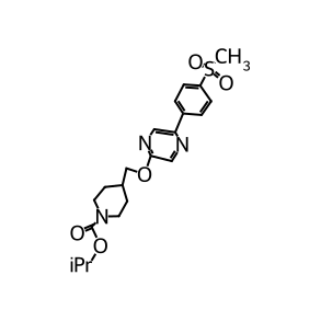 CC(C)OC(=O)N1CCC(COc2cnc(-c3ccc(S(C)(=O)=O)cc3)cn2)CC1